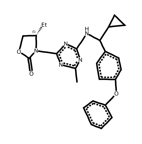 CC[C@H]1COC(=O)N1c1nc(C)nc(NC(c2ccc(Oc3ccccc3)cc2)C2CC2)n1